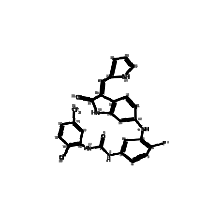 O=C(Nc1ccc(F)c(Nc2ccc3c(c2)NC(=O)C3=Cc2ccc[nH]2)c1)Nc1cc(C(F)(F)F)ccc1Cl